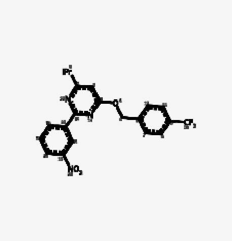 CC(C)c1cc(OCc2ccc(C(F)(F)F)cc2)nc(-c2cccc([N+](=O)[O-])c2)n1